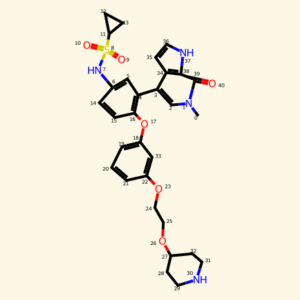 Cn1cc(-c2cc(NS(=O)(=O)C3CC3)ccc2Oc2cccc(OCCOC3CCNCC3)c2)c2cc[nH]c2c1=O